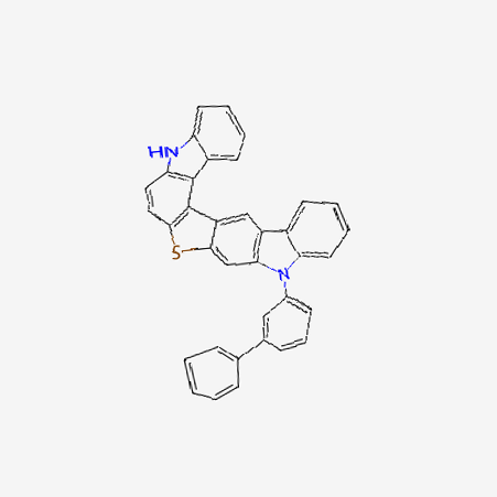 c1ccc(-c2cccc(-n3c4ccccc4c4cc5c(cc43)sc3ccc4[nH]c6ccccc6c4c35)c2)cc1